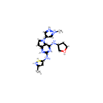 Cc1cc(Nc2nc(NC3CCOC3)c3c(ccn3-c3cnn(C)c3)n2)sn1